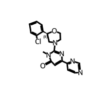 Cn1c(N2CCO[C@H](c3ccccc3Cl)C2)nc(-c2ccncn2)cc1=O